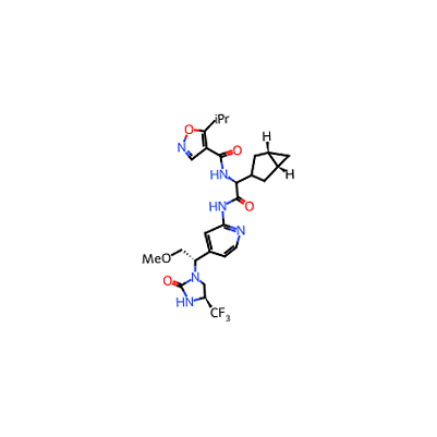 COC[C@H](c1ccnc(NC(=O)[C@@H](NC(=O)c2cnoc2C(C)C)C2C[C@@H]3C[C@@H]3C2)c1)N1C[C@@H](C(F)(F)F)NC1=O